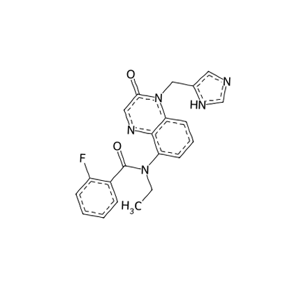 CCN(C(=O)c1ccccc1F)c1cccc2c1ncc(=O)n2Cc1cnc[nH]1